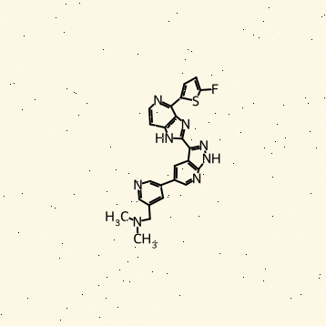 CN(C)Cc1cncc(-c2cnc3[nH]nc(-c4nc5c(-c6ccc(F)s6)nccc5[nH]4)c3c2)c1